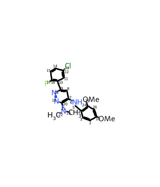 COc1ccc(CNc2cc(-c3cc(Cl)ccc3F)nnc2N(C)C)c(OC)c1